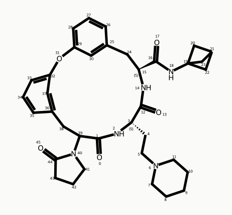 O=C1N[C@@H](CCN2CCCCC2)C(=O)N[C@H](C(=O)NC23CC(C2)C3)Cc2cccc(c2)Oc2cccc(c2)CC1N1CCCC1=O